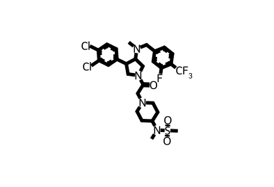 CN(Cc1ccc(C(F)(F)F)c(F)c1)C1CN(C(=O)CN2CCC(N(C)S(C)(=O)=O)CC2)CC1c1ccc(Cl)c(Cl)c1